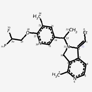 CC/C=C1/c2ccnc(C)c2CN1C(C)c1cnc(OCC(F)F)c(C)c1